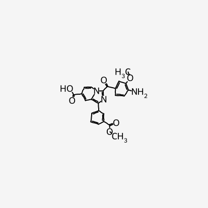 COC(=O)c1cccc(-c2nc(C(=O)c3ccc(N)c(OC)c3)n3ccc(C(=O)O)cc23)c1